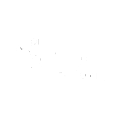 COC(=O)c1ccc([C@@H]2C[C@H]2C(=O)O)cc1